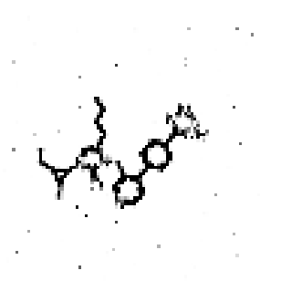 CCCCc1cn(C2C(C)C2CC)c(=O)n1Cc1cnccc1-c1ccc(-c2nnn[nH]2)cc1